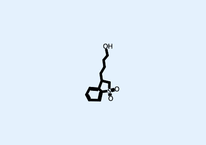 O=S1(=O)CC(CCCCO)c2ccccc21